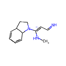 CN/C(=C\C=N)N1CCC2C=CC=CC21